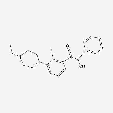 CCN1CCC(c2cccc(C(=O)C(O)c3ccccc3)c2C)CC1